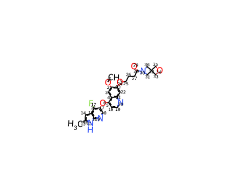 COc1cc2c(Oc3cnc4[nH]c(C)cc4c3F)ccnc2cc1OCCCC(=O)N1CC2(COC2)C1